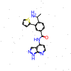 CC(N)c1ccc(C(=O)Nc2ccnc3[nH]ncc23)cc1-c1cccs1